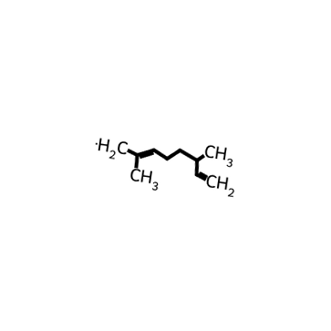 [CH2]C(C)=CCCC(C)C=C